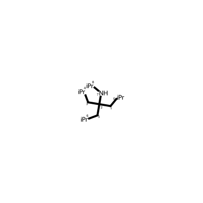 CC(C)CC(CC(C)C)(CC(C)C)NC(C)C